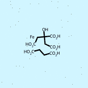 O=C(O)CC(O)(CC(=O)O)C(=O)O.O=C(O)CCC(=O)O.[Fe]